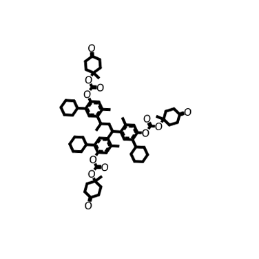 Cc1cc(OC(=O)OC2(C)CCC(=O)CC2)c(C2CCCCC2)cc1C(C)CC(c1cc(C2CCCCC2)c(OC(=O)OC2(C)CCC(=O)CC2)cc1C)c1cc(C2CCCCC2)c(OC(=O)OC2(C)CCC(=O)CC2)cc1C